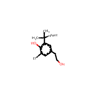 CCCCCC(C)(C)c1cc(CCO)cc(CC)c1O